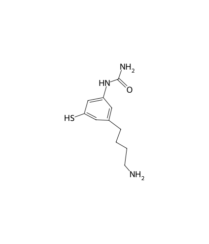 NCCCCc1cc(S)cc(NC(N)=O)c1